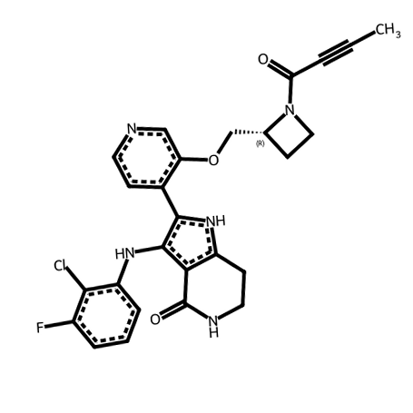 CC#CC(=O)N1CC[C@@H]1COc1cnccc1-c1[nH]c2c(c1Nc1cccc(F)c1Cl)C(=O)NCC2